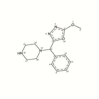 COc1nnc(C(c2ccccc2)N2CCNCC2)o1